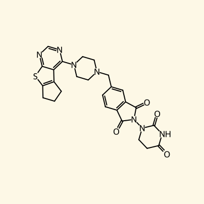 O=C1CCN(N2C(=O)c3ccc(CN4CCN(c5ncnc6sc7c(c56)CCC7)CC4)cc3C2=O)C(=O)N1